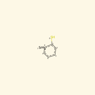 Sc1ccccc1.[SrH2]